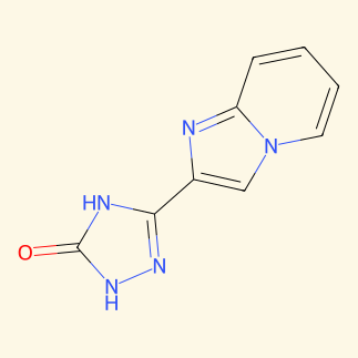 O=c1[nH]nc(-c2cn3ccccc3n2)[nH]1